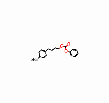 CCCCC1CC=C(CCCCOC(=O)Oc2ccccc2)CC1